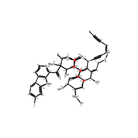 CC#C/C=C\C#C[C@H](OC1OC(C)C(SC)(C(=O)c2nccc3c2[nH]c2cc(I)ccc23)C(O)C1OC1CC(OC)C(NC(C)C)CO1)C1=C(NC(=O)OC)C(=O)C[C@H](O)/C1=C/CSC(C)=O